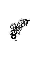 Cc1cnc(C(OC(C)C)C(C)S(=O)(=O)Nc2nnc3n2[C@@H](COC(C)C)COc2ccc(F)cc2-3)nc1